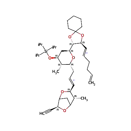 C#C[C@@H]1OC2CC1O[C@@H](/C=C/C[C@H]1O[C@H]([C@@H]3OC4(CCCCC4)O[C@H]3/C=C/CCC=C)C[C@H](O[Si](C(C)C)(C(C)C)C(C)C)[C@H]1C)[C@@H]2C